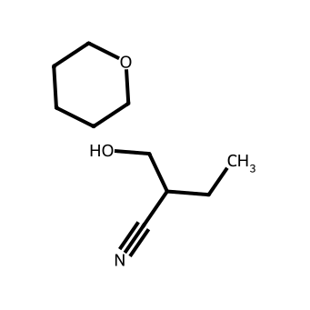 C1CCOCC1.CCC(C#N)CO